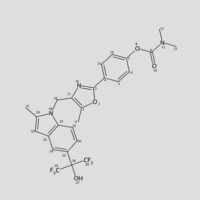 Cc1oc(-c2ccc(OC(=O)N(C)C)cc2)nc1Cn1c(C)cc2cc(C(O)(C(F)(F)F)C(F)(F)F)ccc21